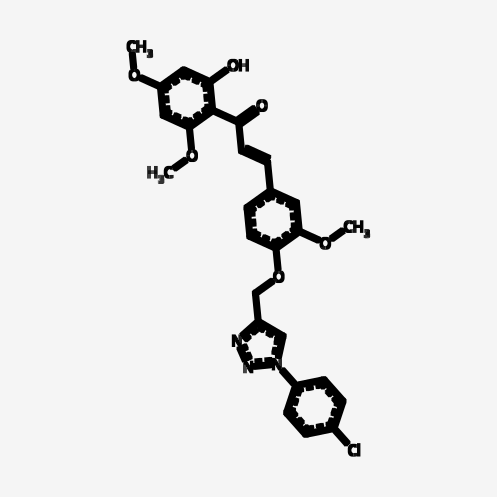 COc1cc(O)c(C(=O)/C=C/c2ccc(OCc3cn(-c4ccc(Cl)cc4)nn3)c(OC)c2)c(OC)c1